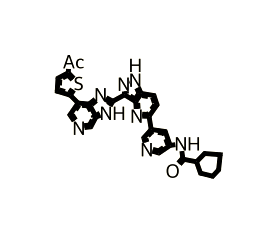 CC(=O)c1ccc(-c2cncc3[nH]c(-c4n[nH]c5ccc(-c6cncc(NC(=O)C7CCCCC7)c6)nc45)nc23)s1